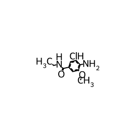 CCNC(=O)c1ccc(N)c(OC)c1.Cl